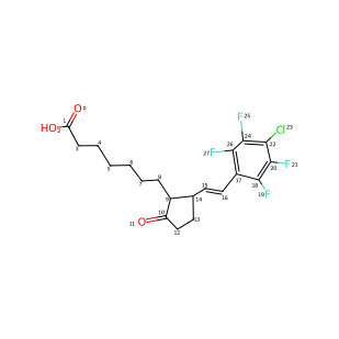 O=C(O)CCCCCCC1C(=O)CCC1C=Cc1c(F)c(F)c(Cl)c(F)c1F